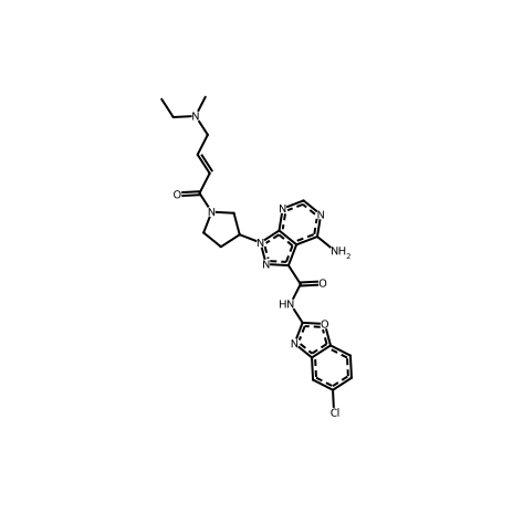 CCN(C)CC=CC(=O)N1CCC(n2nc(C(=O)Nc3nc4cc(Cl)ccc4o3)c3c(N)ncnc32)C1